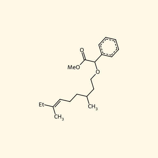 CCC(C)=CCCC(C)CCOC(C(=O)OC)c1ccccc1